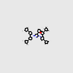 N#Cc1ccc(-c2cc(-n3c4ccc(-c5cc(C(F)(F)F)cc(C(F)(F)F)c5)cc4c4cc(-c5cc(C(F)(F)F)cc(C(F)(F)F)c5)ccc43)ncc2-n2c3ccc(-c4cc(C(F)(F)F)cc(C(F)(F)F)c4)cc3c3cc(-c4cc(C(F)(F)F)cc(C(F)(F)F)c4)ccc32)cc1